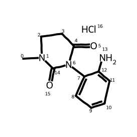 CN1CCC(=O)N(c2ccccc2N)C1=O.Cl